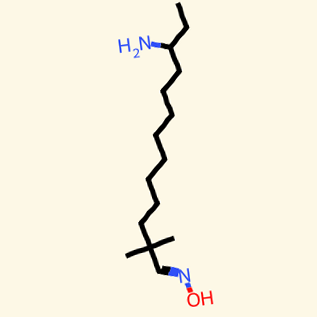 CCC(N)CCCCCCCCC(C)(C)C=NO